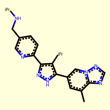 Cc1cc(-c2[nH]nc(-c3ccc(CNC(C)C)cn3)c2C(C)C)cn2ncnc12